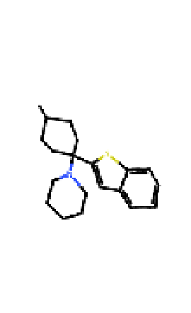 CC1CCC(c2cc3ccccc3s2)(N2CCCCC2)CC1